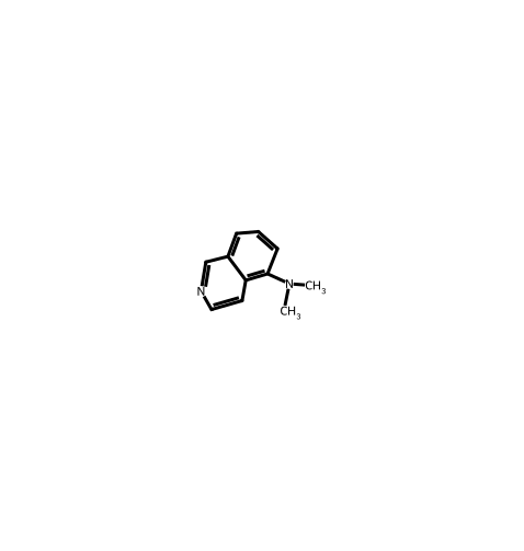 CN(C)c1cccc2cnccc12